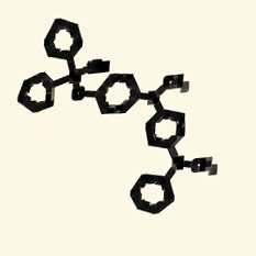 CN(c1ccccc1)c1ccc(N(C)c2ccc(O[Si](c3ccccc3)(c3ccccc3)C(C)(C)C)cc2)cc1